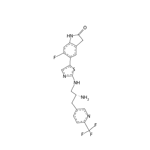 N[C@@H](CNc1ncc(-c2cc3c(cc2F)NC(=O)C3)s1)Cc1ccc(C(F)(F)F)nc1